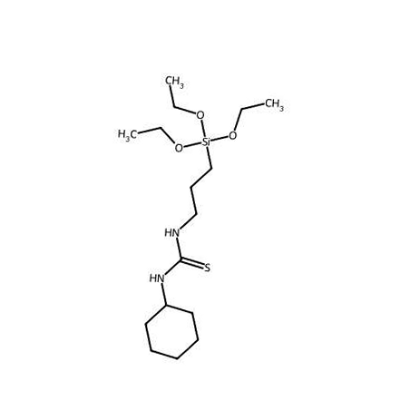 CCO[Si](CCCNC(=S)NC1CCCCC1)(OCC)OCC